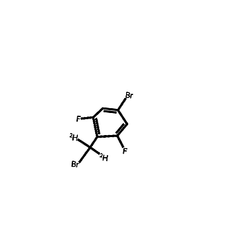 [2H]C([2H])(Br)c1c(F)cc(Br)cc1F